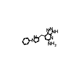 Nc1cc(Cc2ccn(-c3ccccc3)n2)c2nn[nH]c2n1